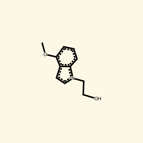 COc1c[c]cc2c1ccn2CCO